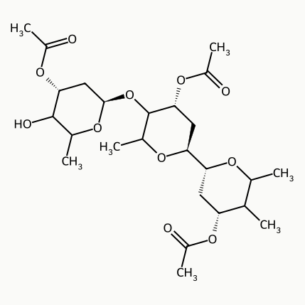 CC(=O)O[C@@H]1C[C@H]([C@@H]2C[C@@H](OC(C)=O)C(O[C@@H]3C[C@@H](OC(C)=O)C(O)C(C)O3)C(C)O2)OC(C)C1C